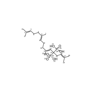 CC(C)=CCCC(C)=CCCC(C)=CC(CC=C(C)C)(P(=O)(O)O)P(=O)(O)O